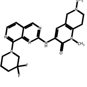 CN1CCc2c(cc(Nc3ncc4ccnc(N5CCCC(F)(F)C5)c4n3)c(=O)n2C)C1